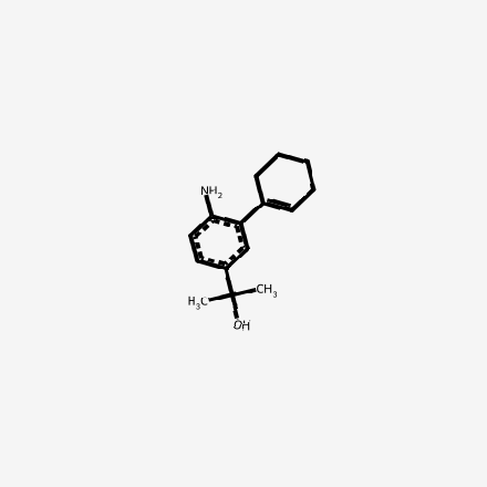 CC(C)(O)c1ccc(N)c(C2=CCCCC2)c1